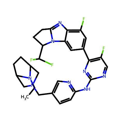 CCN1C2CCC1CN(Cc1ccc(Nc3ncc(F)c(-c4cc(F)c5nc6n(c5c4)C(C(F)F)CC6)n3)nc1)C2